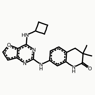 CC1(C)Cc2ccc(Nc3nc(NC4CCC4)c4occc4n3)cc2NC1=O